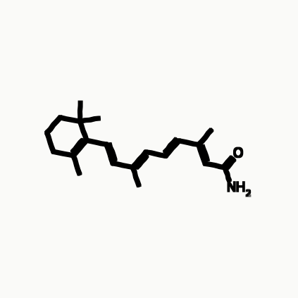 CC(C=CC1=C(C)CCCC1(C)C)=CC=CC(C)=CC(N)=O